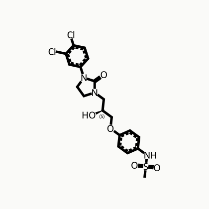 CS(=O)(=O)Nc1ccc(OC[C@@H](O)CN2CCN(c3ccc(Cl)c(Cl)c3)C2=O)cc1